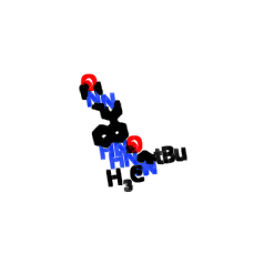 Cn1nc(C(C)(C)C)cc1NC(=O)Nc1ccc(-c2ccnc(CN3CCOCC3)c2)c2ccccc12